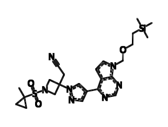 CC1(S(=O)(=O)N2CC(CC#N)(n3cc(-c4ncnc5c4ccn5COCC[Si](C)(C)C)cn3)C2)CC1